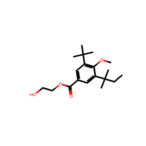 CCC(C)(C)c1cc(C(=O)OCCO)cc(C(C)(C)C)c1OC